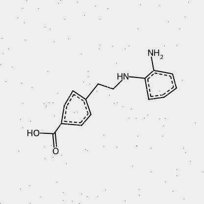 Nc1ccccc1NCCc1ccc(C(=O)O)cc1